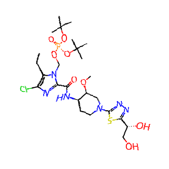 CCc1c(Cl)nc(C(=O)N[C@@H]2CCN(c3nnc([C@H](O)CO)s3)C[C@@H]2OC)n1COP(=O)(OC(C)(C)C)OC(C)(C)C